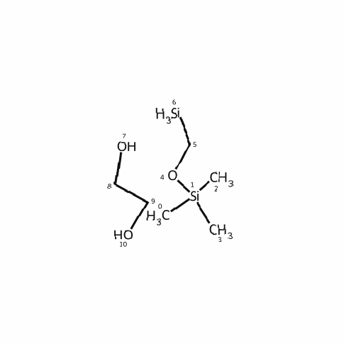 C[Si](C)(C)OC[SiH3].OCCO